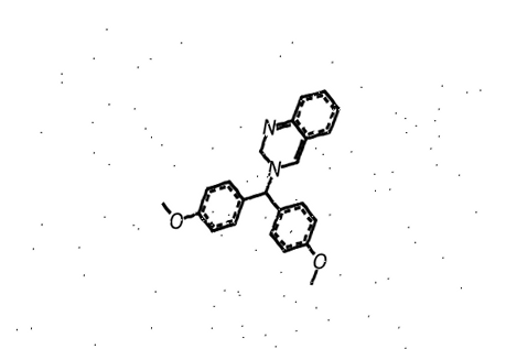 COc1ccc(C(c2ccc(OC)cc2)N2C=c3ccccc3=NC2)cc1